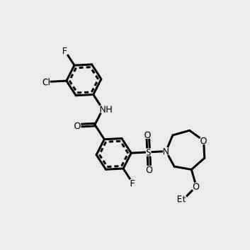 CCOC1COCCN(S(=O)(=O)c2cc(C(=O)Nc3ccc(F)c(Cl)c3)ccc2F)C1